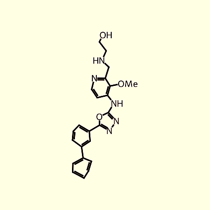 COc1c(Nc2nnc(-c3cccc(-c4ccccc4)c3)o2)ccnc1CNCCO